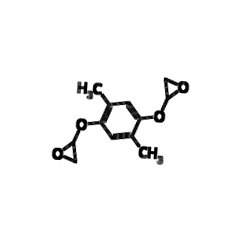 Cc1cc(OC2CO2)c(C)cc1OC1CO1